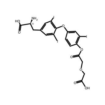 N[C@@H](Cc1cc(I)c(Oc2ccc(OC(=O)COCC(=O)O)c(I)c2)c(I)c1)C(=O)O